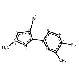 Cc1nc(-c2nn(C)cc2Br)ccc1F